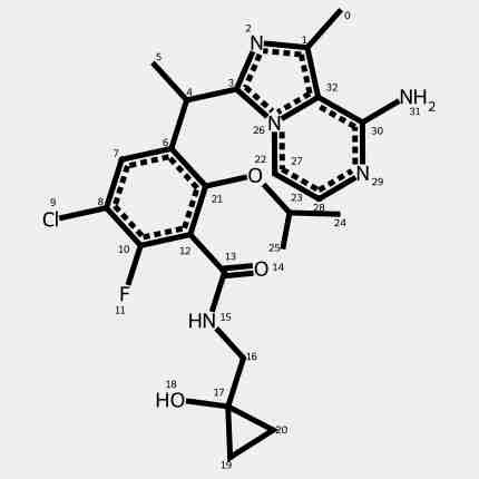 Cc1nc(C(C)c2cc(Cl)c(F)c(C(=O)NCC3(O)CC3)c2OC(C)C)n2ccnc(N)c12